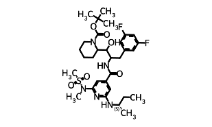 CC[C@H](C)Nc1cc(C(=O)NC(Cc2cc(F)cc(F)c2)C(O)C2CCCCN2C(=O)OC(C)(C)C)cc(N(C)S(C)(=O)=O)n1